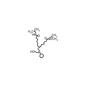 CC(C)CNC(=O)CCCCCN(CCCCCC(=O)NCC(C)C)CCN(CCO)C1CCCCC1